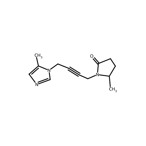 Cc1cncn1CC#CCN1C(=O)CCC1C